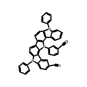 N#Cc1cccc(-n2c3c(ccc4c3c3ccccc3n4-c3ccccc3)c3ccc4c(c5cc(C#N)ccc5n4-c4ccccc4)c32)c1